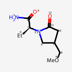 CC[C@@H](C(N)=O)N1CC(COC)CC1=O